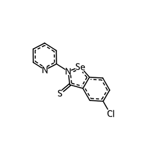 S=c1c2cc(Cl)ccc2[se]n1-c1ccccn1